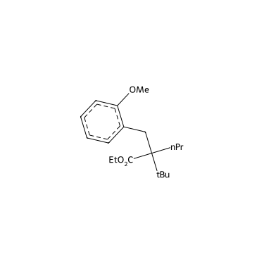 CCCC(Cc1ccccc1OC)(C(=O)OCC)C(C)(C)C